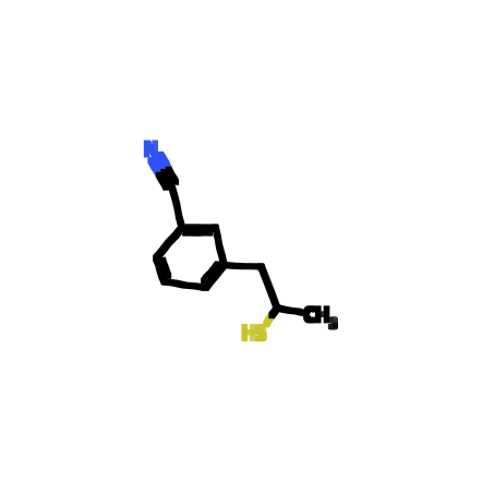 CC(S)Cc1cccc(C#N)c1